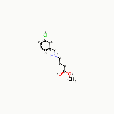 COC(=O)CCCNCc1cccc(Cl)c1